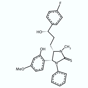 COc1ccc([C@@H]2[C@H](CC[C@H](O)c3ccc(F)cc3)N(C)C(=S)N2c2ccccc2)c(O)c1